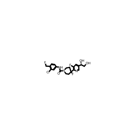 O=C(Nc1ccc(CF)c(Cl)c1)N1CCC(F)(c2ncc([C@@H](O)CO)cc2F)CC1